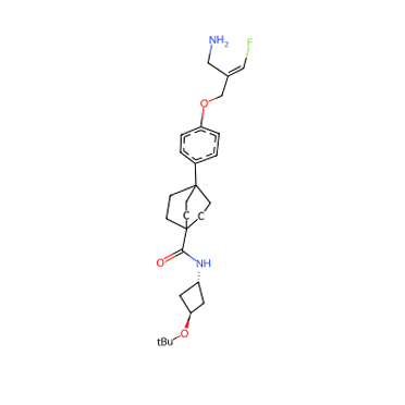 CC(C)(C)O[C@H]1C[C@H](NC(=O)C23CCC(c4ccc(OC/C(=C/F)CN)cc4)(CC2)CC3)C1